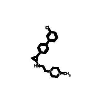 CN1CCN(CCN[C@H]2CC2c2ccc(-c3cccc(Cl)c3)cc2)CC1